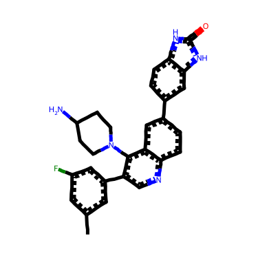 Cc1cc(F)cc(-c2cnc3ccc(-c4ccc5[nH]c(=O)[nH]c5c4)cc3c2N2CCC(N)CC2)c1